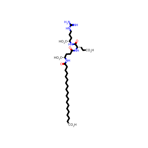 N=C(N)NCCC[C@H](NC(=O)[C@H](CCC(=O)O)NC(=O)CC[C@H](NC(=O)CCCCCCCCCCCCCCCCCCC(=O)O)C(=O)O)C(=O)O